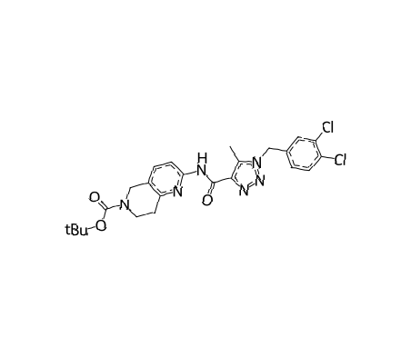 Cc1c(C(=O)Nc2ccc3c(n2)CCN(C(=O)OC(C)(C)C)C3)nnn1Cc1ccc(Cl)c(Cl)c1